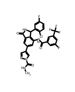 CNC(=O)n1cc(-c2cc(NC(=O)c3cc(F)cc(C(F)(F)F)c3)c3c(c2)C(=O)NC3c2cc(F)ccc2Cl)cn1